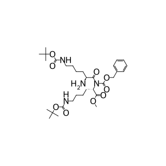 COC(=O)[C@H](CCCCNC(=O)OC(C)(C)C)N(C(=O)OCc1ccccc1)C(=O)[C@@H](N)CCCCNC(=O)OC(C)(C)C